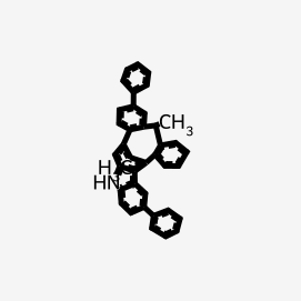 Cc1c2cc3[nH]c4ccc(-c5ccccc5)cc4c3c1-c1ccccc1C(C)c1cc(-c3ccccc3)ccc1-2